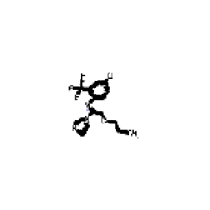 CCCOC/C(=N\c1ccc(Cl)cc1C(F)(F)F)n1ccnc1